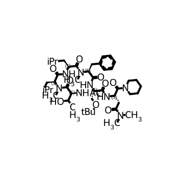 CC(=O)N[C@H](C(=O)N(C)[C@@H](CC(C)C)C(=O)N[C@@H](CC(C)C)C(=O)N(C)[C@@H](Cc1ccccc1)C(=O)N[C@@H](COC(C)(C)C)C(=O)N[C@@H](CC(=O)N(C)C)C(=O)N1CCCCC1)C(C)O